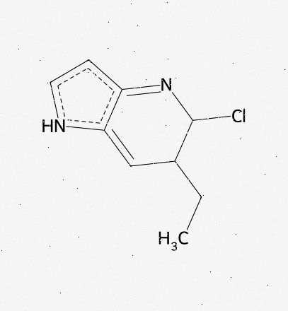 CCC1C=c2[nH]ccc2=NC1Cl